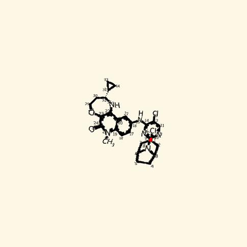 CN1CC2CCC(C1)N2c1ncc(Cl)c(Nc2ccc3c(c2)c2c(c(=O)n3C)OCC[C@H](C3CC3)N2)n1